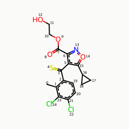 Cc1c(C(=S)c2c(C(=O)OCCO)noc2C2CC2)ccc(Cl)c1Cl